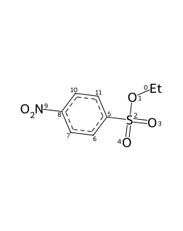 [CH2]COS(=O)(=O)c1ccc([N+](=O)[O-])cc1